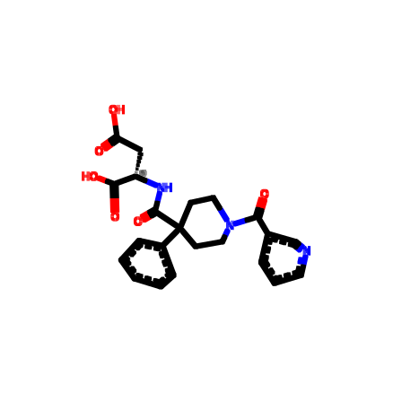 O=C(O)C[C@H](NC(=O)C1(c2ccccc2)CCN(C(=O)c2cccnc2)CC1)C(=O)O